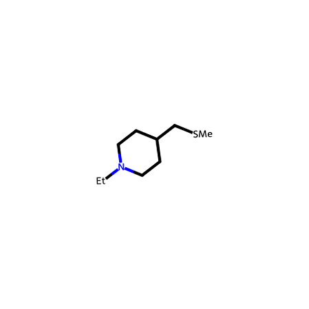 CCN1CCC(CSC)CC1